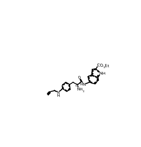 C#CCNc1ccc(C[C@H](N)C(=O)Nc2ccc3[nH]c(C(=O)OCC)cc3c2)cc1